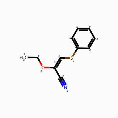 CCO/C(C#N)=C/Sc1ccccc1